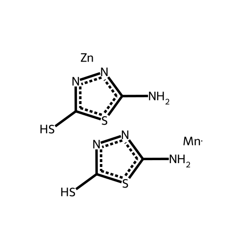 Nc1nnc(S)s1.Nc1nnc(S)s1.[Mn].[Zn]